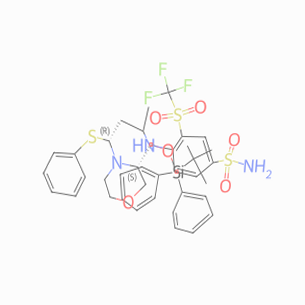 CC(C[C@@H](Sc1ccccc1)N1CCOC[C@H]1CO[Si](c1ccccc1)(c1ccccc1)C(C)(C)C)Nc1ccc(S(N)(=O)=O)cc1S(=O)(=O)C(F)(F)F